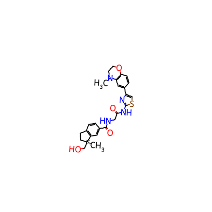 CN1CCOc2ccc(-c3csc(NC(=O)CNC(=O)c4ccc5c(c4)[C@@](C)(CO)CC5)n3)cc21